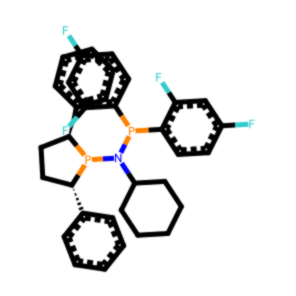 Fc1ccc(P(c2ccc(F)cc2F)N(C2CCCCC2)P2[C@H](c3ccccc3)CC[C@H]2c2ccccc2)c(F)c1